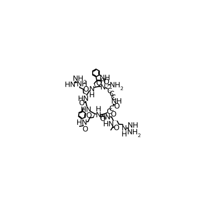 CC(=O)NCCC[C@@H]1NC(=O)[C@@H](NC(=O)[C@H](CCCNC(=N)N)NC(C)=O)CCC(=O)NCCC[C@@H](C(N)=O)NC(=O)[C@H](Cc2c[nH]c3ccccc23)NC(=O)[C@H](CCCNC(=N)N)NC(=O)[C@@H](Cc2ccccc2)NC1=O